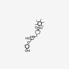 Cc1c(C)c(C)c(S(=O)(=O)N2CCC(CNC[C@@H](O)COc3ccc(O)cc3)CC2)c(C)c1C